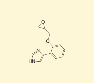 c1ccc(-c2c[nH]cn2)c(OCC2CO2)c1